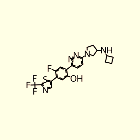 Oc1cc(-c2cnc(C(F)(F)F)s2)c(F)cc1-c1ccc(N2CCC(NC3CCC3)C2)nn1